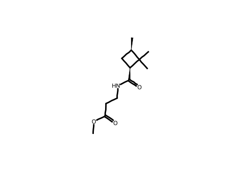 COC(=O)CCNC(=O)[C@H]1C[C@@H](C)C1(C)C